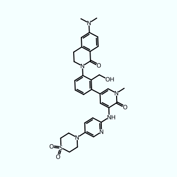 CN(C)c1ccc2c(c1)CCN(c1cccc(-c3cc(Nc4ccc(N5CCS(=O)(=O)CC5)cn4)c(=O)n(C)c3)c1CO)C2=O